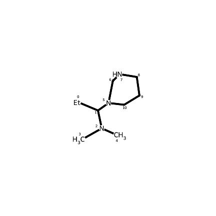 CCC(N(C)C)N1[CH]NCCC1